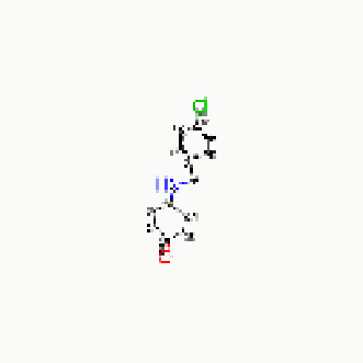 O=C1CCC(NCc2ccc(Cl)cc2)CC1